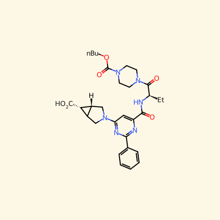 CCCCOC(=O)N1CCN(C(=O)[C@@H](CC)NC(=O)c2cc(N3CC4[C@@H](C3)[C@H]4C(=O)O)nc(-c3ccccc3)n2)CC1